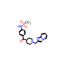 CS(=O)(=O)Nc1ccc(C(=O)C2CCN(Cc3cn4ccccc4n3)CC2)cc1